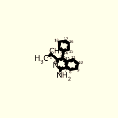 C=C(C)c1nc(N)c2ccccc2c1-c1ccccc1